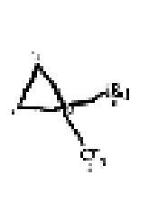 CCC(C)C1(C(F)(F)F)CC1